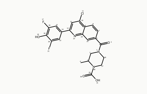 CC1CN(C(=O)c2ccc3c(Cl)cc(-c4cc(F)c(O)c(F)c4)nc3c2)CCN1C(=O)O